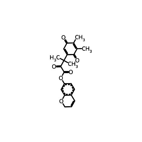 CC1=C(C)C(=O)C(C(C)(C)C(=O)C(=O)Oc2ccc3c(c2)OCC=C3)=CC1=O